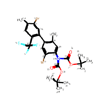 Cc1cc(C(F)(F)F)c(-c2cc(Br)c(N(C(=O)OC(C)(C)C)C(=O)OC(C)(C)C)cc2C)cc1Br